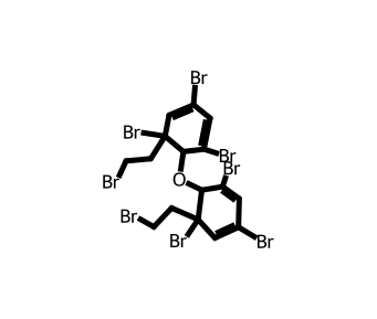 BrCCC1(Br)C=C(Br)C=C(Br)C1OC1C(Br)=CC(Br)=CC1(Br)CCBr